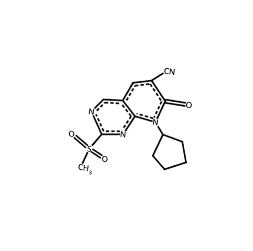 CS(=O)(=O)c1ncc2cc(C#N)c(=O)n(C3CCCC3)c2n1